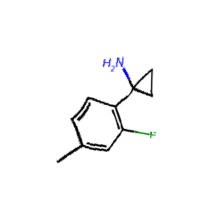 Cc1ccc(C2(N)CC2)c(F)c1